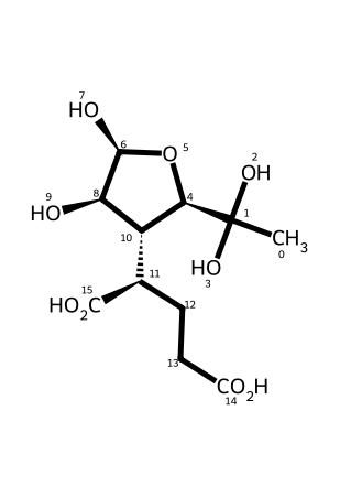 CC(O)(O)[C@@H]1O[C@H](O)[C@H](O)[C@H]1[C@@H](CCC(=O)O)C(=O)O